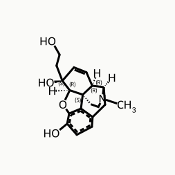 CN1CC[C@]23c4c5ccc(O)c4O[C@H]2[C@](O)(CCO)C=C[C@H]3[C@H]1C5